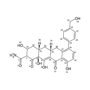 NC(=O)C1C(=O)[C@@]2(O)C(O)=C3C(=O)c4c(O)ccc(-c5ccc(CO)cc5)c4C[C@H]3C[C@H]2CC1O